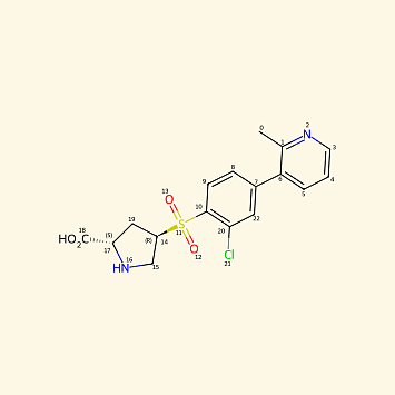 Cc1ncccc1-c1ccc(S(=O)(=O)[C@H]2CN[C@H](C(=O)O)C2)c(Cl)c1